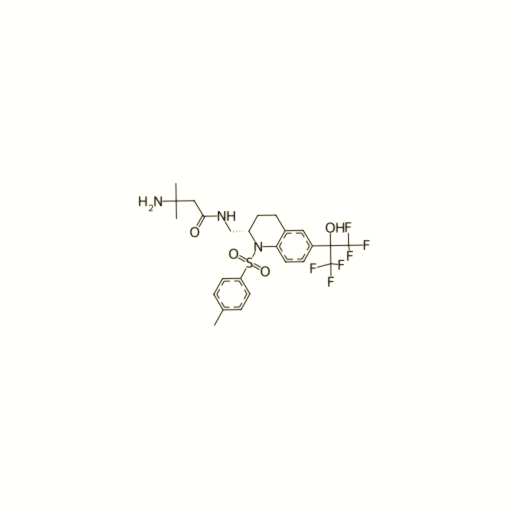 Cc1ccc(S(=O)(=O)N2c3ccc(C(O)(C(F)(F)F)C(F)(F)F)cc3CC[C@H]2CNC(=O)CC(C)(C)N)cc1